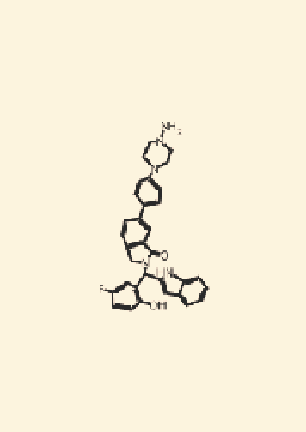 NN1CCN(c2ccc(-c3ccc4c(c3)C(=O)N([C@@H](c3cc5ccccc5[nH]3)c3cc(F)ccc3O)C4)cc2)CC1